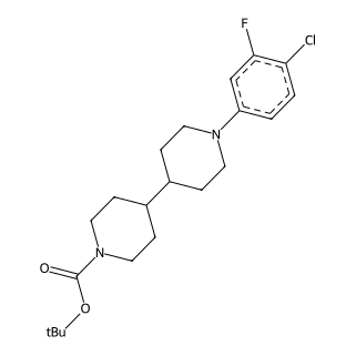 CC(C)(C)OC(=O)N1CCC(C2CCN(c3ccc(Cl)c(F)c3)CC2)CC1